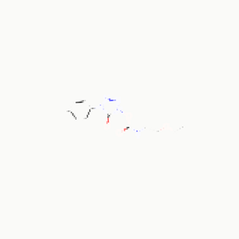 CCOCCN(C)C(=O)On1nnn(-c2ccc(Cl)cc2)c1=O